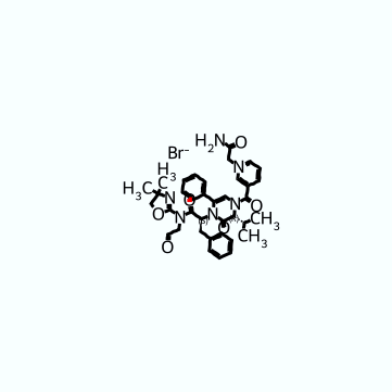 CC(C)[C@@H]1C(=O)N([C@@H](Cc2ccccc2)C(=O)N(CC=O)C2=NC(C)(C)CO2)C(c2ccccc2)=CN1C(=O)c1ccc[n+](CC(N)=O)c1.[Br-]